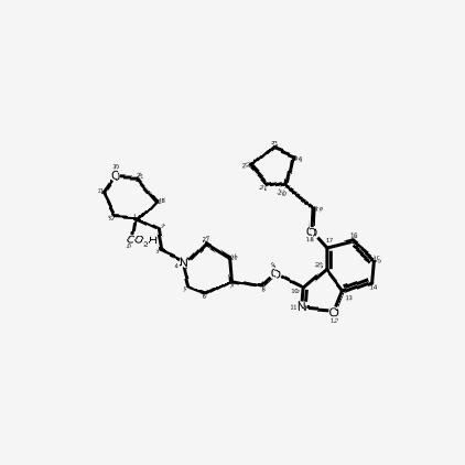 O=C(O)C1(CCN2CCC(COc3noc4cccc(OCC5CCCC5)c34)CC2)CCOCC1